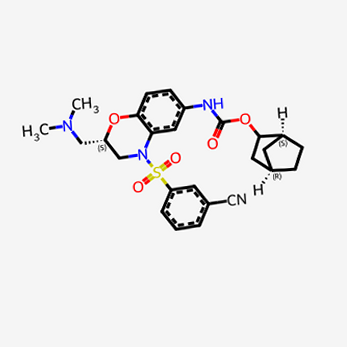 CN(C)C[C@H]1CN(S(=O)(=O)c2cccc(C#N)c2)c2cc(NC(=O)OC3C[C@@H]4CC[C@H]3C4)ccc2O1